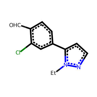 CCn1nccc1-c1ccc(C=O)c(Cl)c1